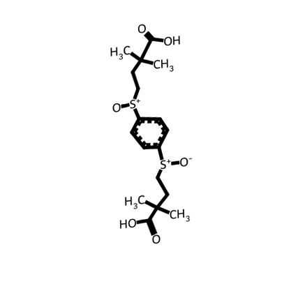 CC(C)(CC[S+]([O-])c1ccc([S+]([O-])CCC(C)(C)C(=O)O)cc1)C(=O)O